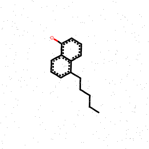 CCCCCc1cccc2c([O])cccc12